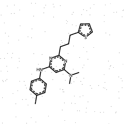 Cc1ccc(Nc2cc(N(C)C)nc(CCCc3cccs3)n2)cc1